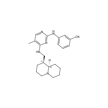 Cc1cnc(Nc2cccc(C#N)c2)nc1NC[C@@H]1CCCN2CCCC[C@H]12